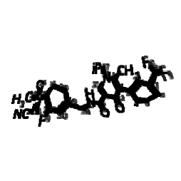 Cc1c(-c2cccc(C(F)F)c2)c(=O)c(C(=O)NCc2ccc(S(C)(=O)=NC#N)c(F)c2)cn1C(C)C